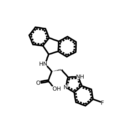 O=C(O)[C@@H](Cc1nc2ccc(F)cc2[nH]1)NC1c2ccccc2-c2ccccc21